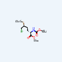 CSSC(CBr)CC[C@H](NC(=O)OC(C)(C)C)C(=O)OC(C)(C)C